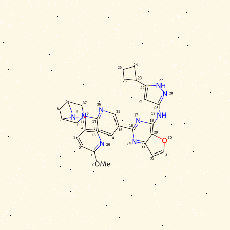 COc1ccc(CN2C3CC2CN(c2ccc(-c4nc(Nc5cc(C6CCC6)[nH]n5)c5occc5n4)cn2)C3)cn1